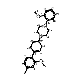 COc1cc(C)ccc1C1=CCC(N2CCN(c3ccccc3OC)CC2)CC1